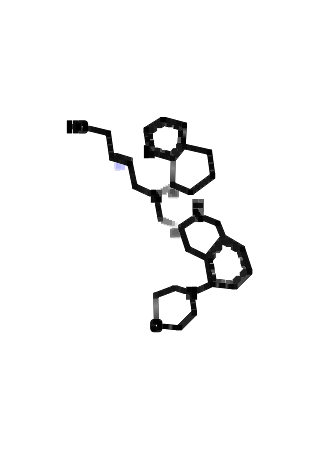 OC/C=C/CN(C[C@H]1Cc2c(cccc2N2CCOCC2)CN1)[C@H]1CCCc2cccnc21